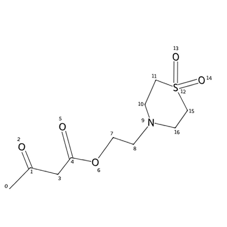 CC(=O)CC(=O)OCCN1CCS(=O)(=O)CC1